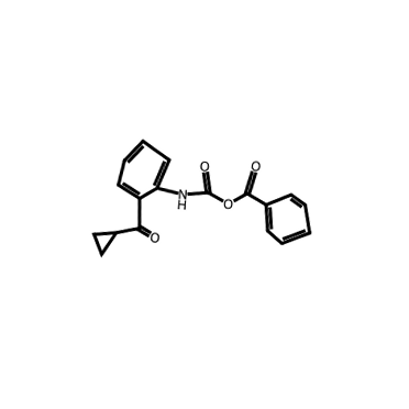 O=C(Nc1ccccc1C(=O)C1CC1)OC(=O)c1ccccc1